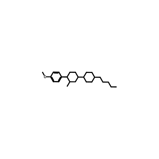 CCCCCC1CCC(C2CCC(c3ccc(OC)cc3)C(C)C2)CC1